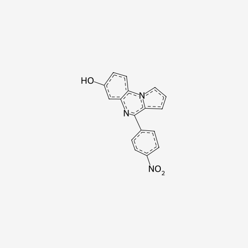 O=[N+]([O-])c1ccc(-c2nc3cc(O)ccc3n3cccc23)cc1